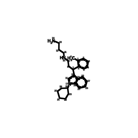 Cc1ccccc1C(CCNCCCN)c1cn(C2CCCCC2)c2ccccc12